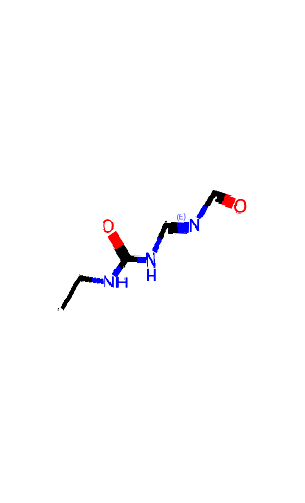 [CH2]CNC(=O)N/[C]=N/C=O